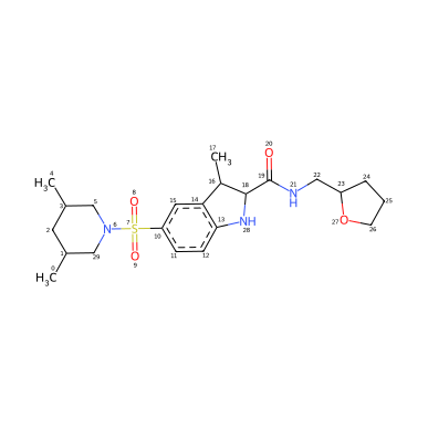 CC1CC(C)CN(S(=O)(=O)c2ccc3c(c2)C(C)C(C(=O)NCC2CCCO2)N3)C1